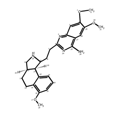 COc1cc2nc(CCC3NC[C@@H]4CCc5c(OC)cccc5[C@H]34)nc(N)c2cc1OC